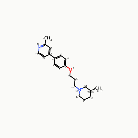 Cc1cc(-c2ccc(OCCCN3CCC[C@H](C)C3)cc2)ccn1